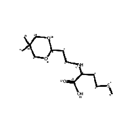 CSCCC(NCCC1OCC(C)(C)CO1)C(=O)O